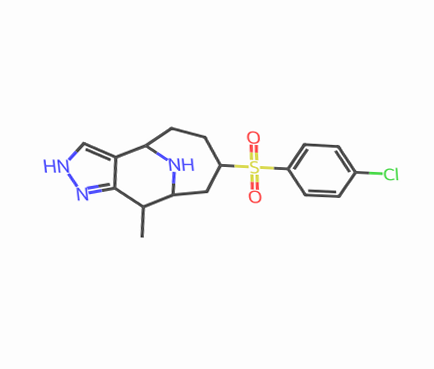 CC1c2n[nH]cc2C2CCC(S(=O)(=O)c3ccc(Cl)cc3)CC1N2